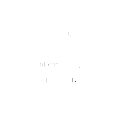 CCCCCCl.O=C1CC2CCC13CN23